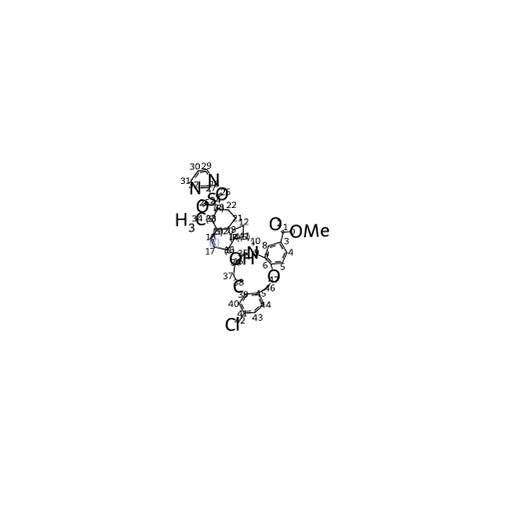 COC(=O)c1ccc2c(c1)N(C[C@H]1CC[C@H]1[C@H](O)/C=C\[C@@H]1CCC[C@@H](S(=O)(=O)c3ncccn3)[C@H]1C)CCCCc1cc(Cl)ccc1CO2